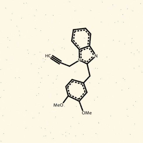 C#CCn1c(Cc2ccc(OC)c(OC)c2)nc2ccccc21